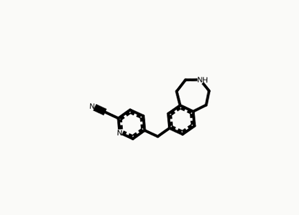 N#Cc1ccc(Cc2ccc3c(c2)CCNCC3)cn1